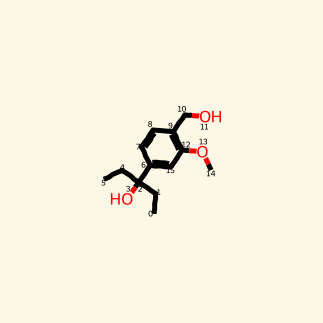 CCC(O)(CC)c1ccc(CO)c(OC)c1